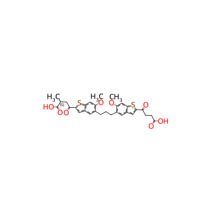 COc1cc2sc(C(=O)CCC(=O)O)cc2cc1CCCc1cc2cc(C(=O)C[C@H](C)C(=O)O)sc2cc1OC